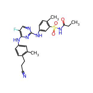 CCC(=O)NS(=O)(=O)c1cc(Nc2ncc(F)c(Nc3ccc(CCC#N)c(C)c3)n2)ccc1C